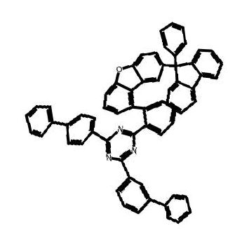 c1ccc(-c2ccc(-c3nc(-c4cccc(-c5ccccc5)c4)nc(-c4ccccc4-c4cccc5oc6ccc(C7(c8ccccc8)c8ccccc8-c8ccccc87)cc6c45)n3)cc2)cc1